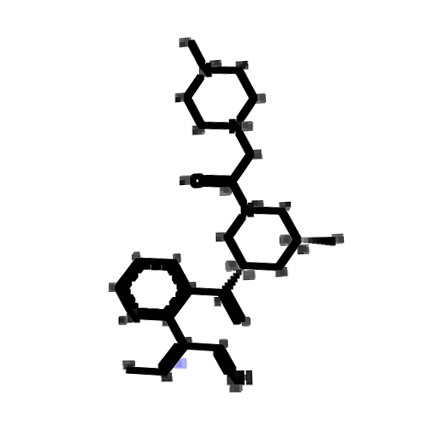 C=C(c1cccnc1/C(C=N)=C\C)[C@H]1C[C@@H](C)CN(C(=O)CN2CCN(C)CC2)C1